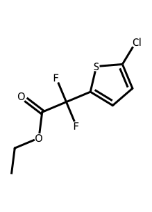 CCOC(=O)C(F)(F)c1ccc(Cl)s1